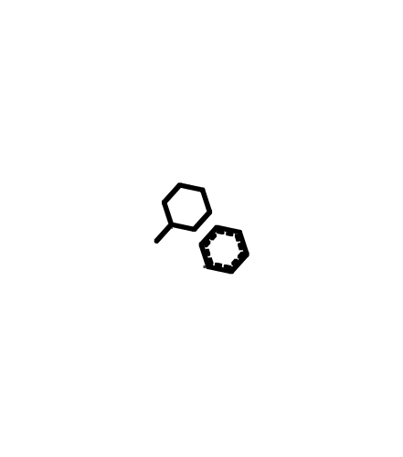 C[C]1CCCCC1.[c]1ccccc1